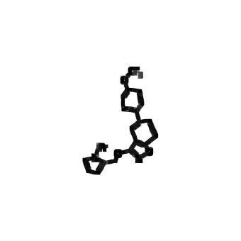 CC(C)n1cccc1COc1noc2ccc(-c3ccc(OC(F)(F)F)cc3)cc12